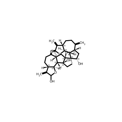 C=C1C(=O)O[C@@H]2[C@@H]3[C@@H](C[C@H](O)[C@]34CC[C@]3(O)[C@@H]5[C@H]6OC(O)C(=C)[C@@H]6CCC(=C)[C@@H]5C[C@]43O)C(=C)CC[C@@H]12